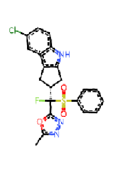 Cc1nnc(C(F)([C@H]2Cc3[nH]c4ccc(Cl)cc4c3C2)S(=O)(=O)c2ccccc2)o1